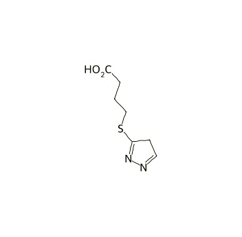 O=C(O)CCCSC1=NN=CC1